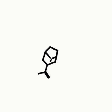 C=C(C)C1CC2CCC(C1)N2C